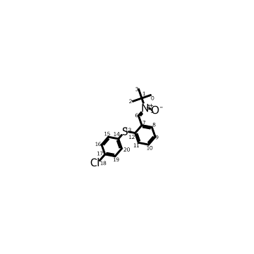 CC(C)(C)[N+]([O-])=Cc1ccccc1Sc1ccc(Cl)cc1